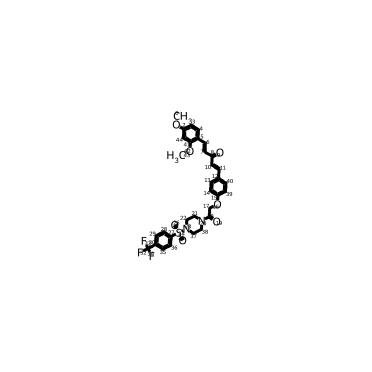 COc1ccc(C=CC(=O)C=Cc2ccc(OCC(=O)N3CCN(S(=O)(=O)c4ccc(C(F)(F)F)cc4)CC3)cc2)c(OC)c1